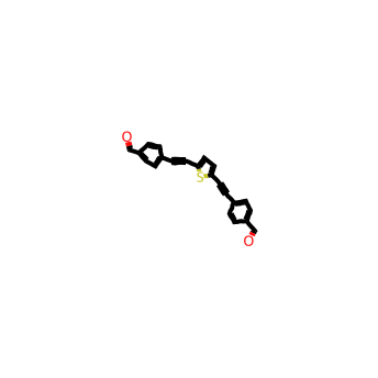 O=Cc1ccc(C#Cc2ccc(C#Cc3ccc(C=O)cc3)s2)cc1